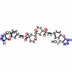 O=C(O)c1nn[nH]c1Oc1ccc(C#CS(=O)(=O)C2CCOC(C3CC(S(=O)(=O)C#Cc4cccc(Oc5[nH]nnc5C(=O)O)c4)CCO3)C2)cc1